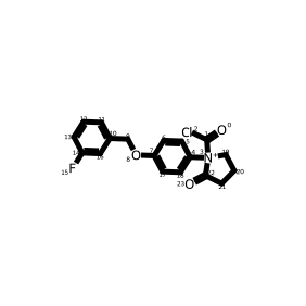 O=C(Cl)[N+]1(c2ccc(OCc3cccc(F)c3)cc2)CCCC1=O